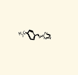 Cc1ccc(/C=N/n2ncnn2)cc1